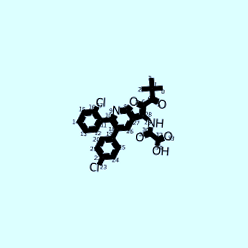 CC(C)(C)C(=O)c1oc2nc(-c3ccccc3Cl)c(-c3ccc(Cl)cc3)cc2c1NC(=O)C(=O)O